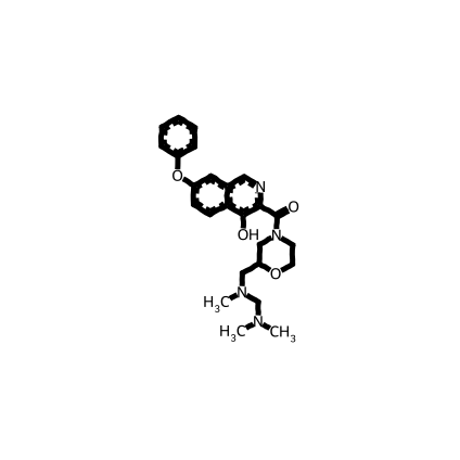 CN(C)CN(C)CC1CN(C(=O)c2ncc3cc(Oc4ccccc4)ccc3c2O)CCO1